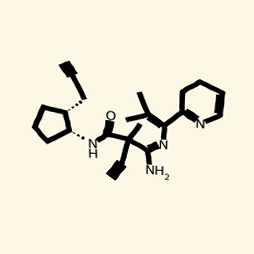 C#CC[C@H]1CCC[C@H]1NC(=O)C(C)(C#C)/C(N)=N\C(C1=NC=CCC1)=C(C)C